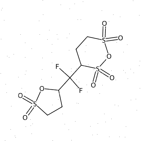 O=S1(=O)CCC(C(F)(F)C2CCS(=O)(=O)OS2(=O)=O)O1